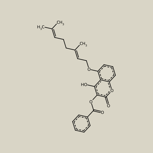 CC(C)=CCC/C(C)=C/COc1cccc2oc(=O)c(OC(=O)c3ccccc3)c(O)c12